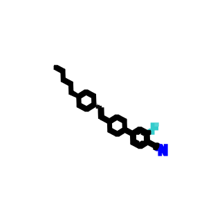 CCCCC[C@H]1CC[C@H](/C=C/C2CCC(c3ccc(C#N)c(F)c3)CC2)CC1